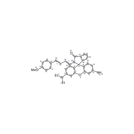 CCN(CC)c1ccc2c(c1)Oc1cc(N)ccc1C21c2ccccc2C(=O)N1/N=C/C=N/c1ccc(OC)cc1